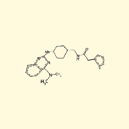 CN(C)c1nc(N[C@H]2CC[C@@H](CNC(=O)Cc3cccs3)CC2)nc2ccccc12